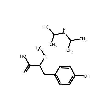 CC(C)NC(C)C.COC(Cc1ccc(O)cc1)C(=O)O